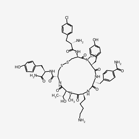 C[C@@H](O)[C@H]1C(=O)N[C@H](C(=O)N[C@H](Cc2ccc(O)cc2)C(N)=O)CSSC[C@@H](NC(=O)[C@@H](N)Cc2ccc(Cl)cc2)C(=O)N(C)[C@@H](Cc2ccc(O)cc2)C(=O)N[C@H](Cc2ccc(C(N)=O)cc2)C(=O)N[C@@H](CCCCN)C(=O)N1C